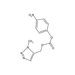 Cn1nncc1COC(=O)Oc1ccc([N+](=O)[O-])cc1